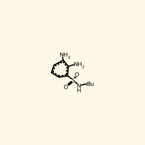 CCC(C)NS(=O)(=O)c1cccc(N)c1N